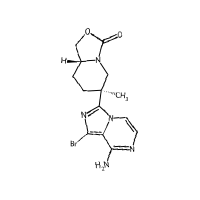 C[C@]1(c2nc(Br)c3c(N)nccn23)CC[C@@H]2COC(=O)N2C1